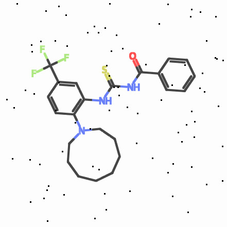 O=C(NC(=S)Nc1cc(C(F)(F)F)ccc1N1CCCCCCCC1)c1ccccc1